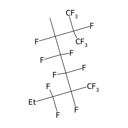 CCC(F)(F)C(F)(C(F)(F)F)C(F)(F)C(F)(F)C(C)(F)C(F)(C(F)(F)F)C(F)(F)F